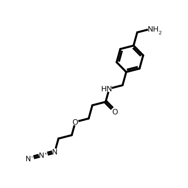 [N-]=[N+]=NCCOCCC(=O)NCc1ccc(CN)cc1